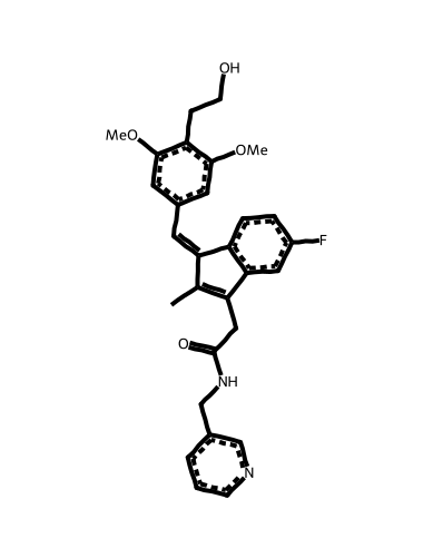 COc1cc(/C=C2/C(C)=C(CC(=O)NCc3cccnc3)c3cc(F)ccc32)cc(OC)c1CCO